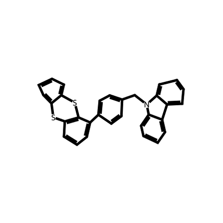 c1ccc2c(c1)Sc1cccc(-c3ccc(Cn4c5ccccc5c5ccccc54)cc3)c1S2